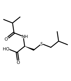 CC(C)CSC[C@H](NC(=O)C(C)C)C(=O)O